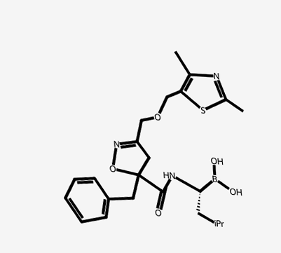 Cc1nc(C)c(COCC2=NOC(Cc3ccccc3)(C(=O)N[C@@H](CC(C)C)B(O)O)C2)s1